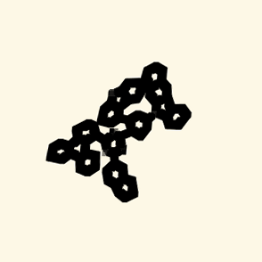 c1ccc2cc(-c3nc(-c4ccc(-n5c6ccccc6c6cc7ccccc7cc65)cc4-c4cccc5oc6ccccc6c45)nc(-c4cccc5c6ccccc6c6ccccc6c45)n3)ccc2c1